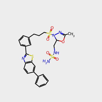 CC1=NN(S(=O)(=O)CCCc2cccc(-c3nc4ccc(-c5ccccc5)cc4s3)c2)C(CNS(N)(=O)=O)O1